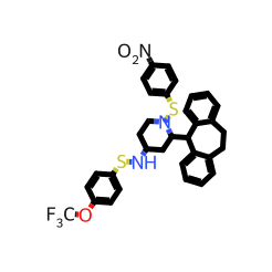 O=[N+]([O-])c1ccc(SN2CCC(NSc3ccc(OC(F)(F)F)cc3)CC2C2c3ccccc3CCc3ccccc32)cc1